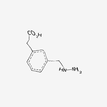 NNCc1cccc(CC(=O)O)c1